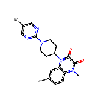 Cn1c(=O)c(=O)n(C2CCN(c3ncc(C#N)cn3)CC2)c2cc(C#N)ccc21